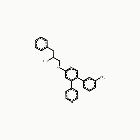 NC(CNc1cc(-c2ccncc2)c(-c2cccc(C(F)(F)F)c2)cn1)Cc1ccccc1